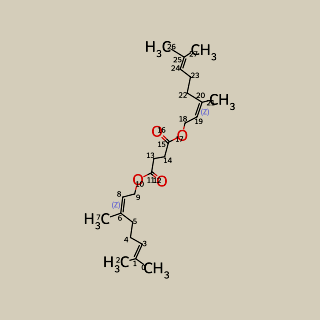 CC(C)=CCC/C(C)=C\COC(=O)CCC(=O)OC/C=C(/C)CCC=C(C)C